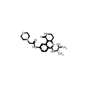 CC(C)[C@H](C)Nc1nc2c(c3cc(NC(=O)CN4CCOCC4)ccc13)C(=O)NCC2